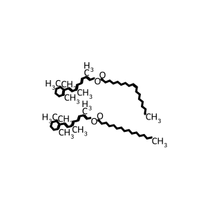 CCCCCCCC/C=C\CCCCCCCC(=O)OCC=C(C)C=CC=C(C)C=CC1=C(C)CCCC1(C)C.CCCCCCCCCCCCCCCC(=O)OCC=C(C)C=CC=C(C)C=CC1=C(C)CCCC1(C)C